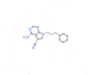 N#Cc1cn(CCCc2ccccc2)c2ncnc(N)c12